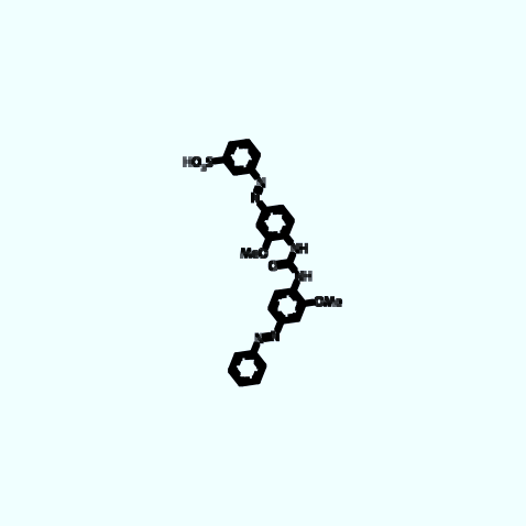 COc1cc(/N=N/c2ccccc2)ccc1NC(=O)Nc1ccc(/N=N/c2cccc(S(=O)(=O)O)c2)cc1OC